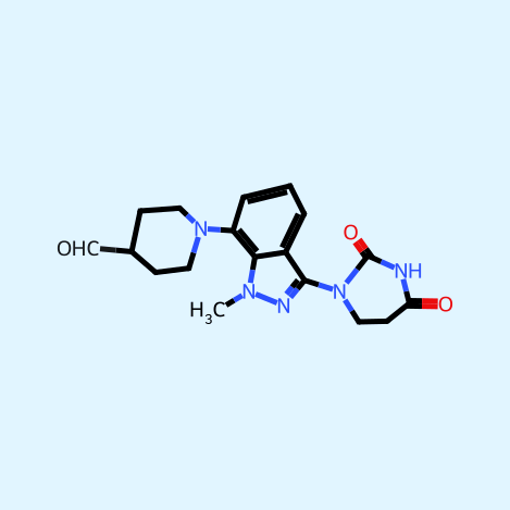 Cn1nc(N2CCC(=O)NC2=O)c2cccc(N3CCC(C=O)CC3)c21